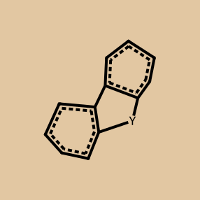 c1ccc2[c](c1)[Y][c]1ccccc1-2